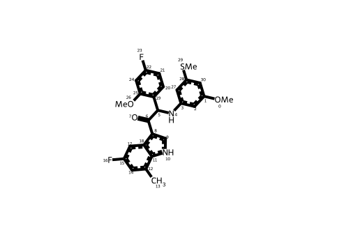 COc1cc(NC(C(=O)c2c[nH]c3c(C)cc(F)cc23)c2ccc(F)cc2OC)cc(SC)c1